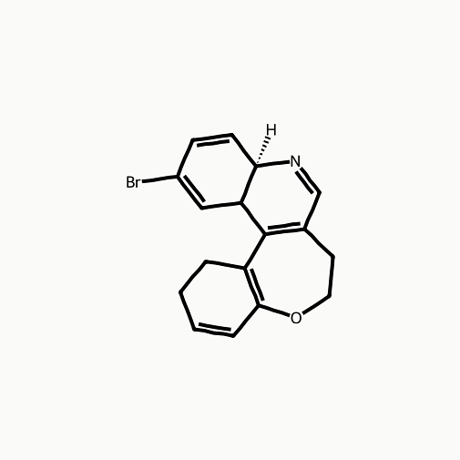 BrC1=CC2C3=C(C=N[C@@H]2C=C1)CCOC1=C3CCC=C1